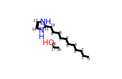 CCCCCCCCCCCC1NC=CN1.CCO